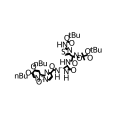 CCCCOc1cc(-c2nccc(C(=O)NC[C@H]3NC(=O)[C@H]3NC(=O)/C(=N\OC(C)(C)C(=O)OC(C)(C)C)c3csc(NC(=O)OC(C)(C)C)n3)n2)[n+]([O-])cc1OCCCC